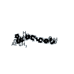 CC(=O)c1c(C)c2cnc(Nc3ccc(N4CCN(CCC5CCN(c6ccc(N7CCC(=O)NC7=O)cc6)CC5)CC4)cn3)nc2n(C2CCCC2)c1=O